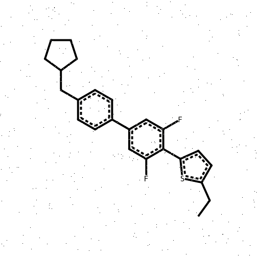 CCc1ccc(-c2c(F)cc(-c3ccc(CC4CCCC4)cc3)cc2F)s1